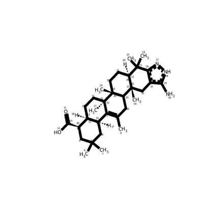 CC1=C2[C@H]3CC(C)(C)C[C@@H](C(=O)O)[C@H]3CC[C@@]2(C)[C@]2(C)CC[C@H]3C(C)(C)c4n[nH]c(N)c4C[C@]3(C)C2C1